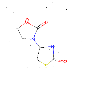 O=C1[N]C(N2CCOC2=O)CS1